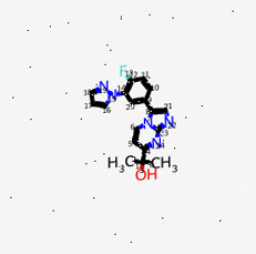 CC(C)(O)c1ccn2c(-c3ccc(F)c(-n4cccn4)c3)cnc2n1